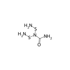 NSN(SN)C(N)=O